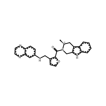 C[C@H]1Cc2c([nH]c3ccccc23)CN1C(=O)c1occc1CNc1ccc2nccnc2c1